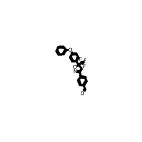 O=Cc1ccc(C2=NOC(c3ccc(Oc4ccccc4)cc3)(C(F)(F)F)C2)cc1